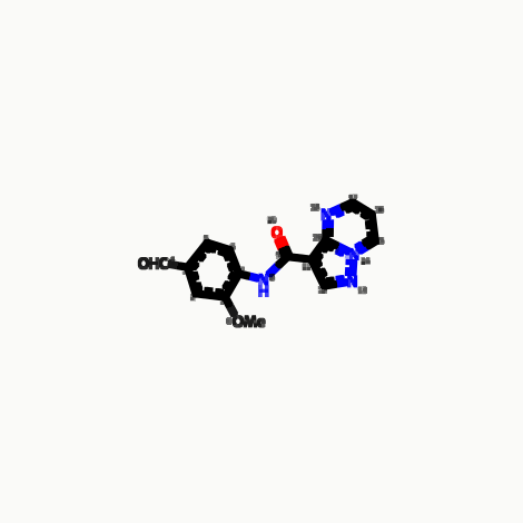 COc1cc(C=O)ccc1NC(=O)c1cnn2cccnc12